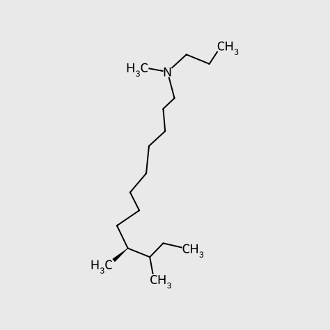 CCCN(C)CCCCCCCC[C@H](C)C(C)CC